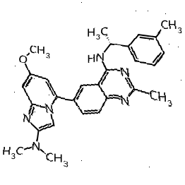 COc1cc(-c2ccc3nc(C)nc(N[C@H](C)c4cccc(C)c4)c3c2)n2cc(N(C)C)nc2c1